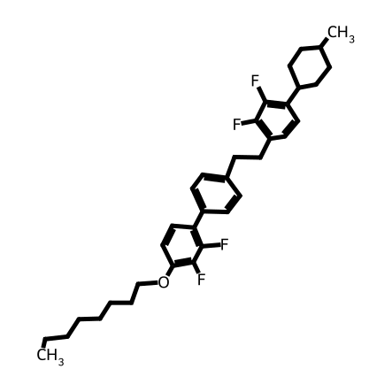 CCCCCCCCOc1ccc(-c2ccc(CCc3ccc(C4CCC(C)CC4)c(F)c3F)cc2)c(F)c1F